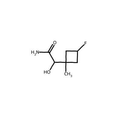 CC1(C(O)C(N)=O)CC(F)C1